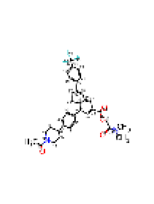 CC(=O)N1CCC(c2ccc(-c3cc(C(=O)OCC(=O)N(C)C)cc4cc(-c5ccc(C(F)(F)F)cc5)ccc34)cc2)CC1